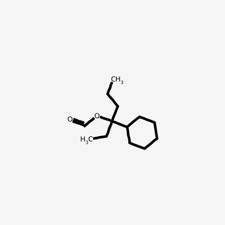 CCCC(CC)(O[C]=O)C1CCCCC1